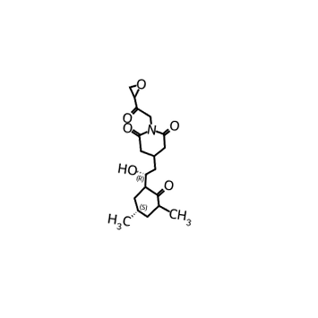 CC1C[C@H](C)CC([C@H](O)CC2CC(=O)N(CC(=O)C3CO3)C(=O)C2)C1=O